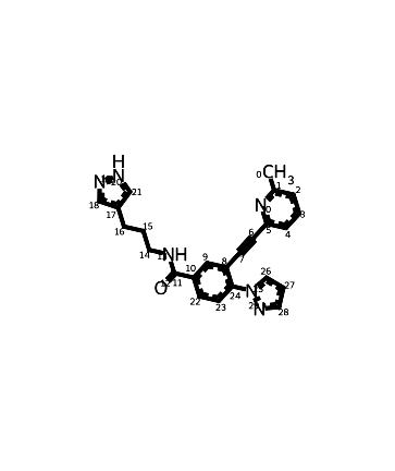 Cc1cccc(C#Cc2cc(C(=O)NCCCc3cn[nH]c3)ccc2-n2cccn2)n1